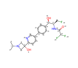 CC(C)N1CC(O)(c2ccc(-c3ccc([C@@H](O)[C@@H](CF)NC(=O)C(F)F)cc3)cn2)C1